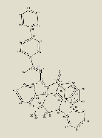 C=C(C1=C(/N=C(\C)c2ccc(-c3ccccc3)cc2)c2ccccc2C12c1ccccc1-n1c3ccccc3c3cccc2c31)c1ccccc1